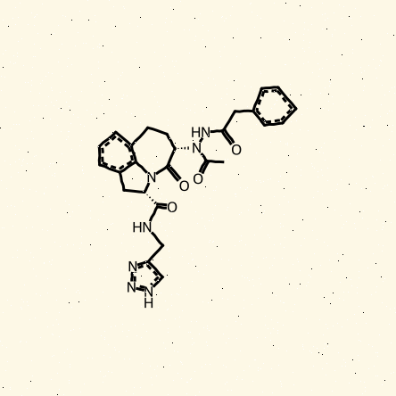 CC(=O)N(NC(=O)Cc1ccccc1)[C@H]1CCc2cccc3c2N(C1=O)[C@H](C(=O)NCc1c[nH]nn1)C3